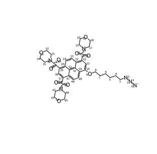 [N-]=[N+]=NCCCCCCOc1cc(S(=O)(=O)N2CCOCC2)c2ccc3c(S(=O)(=O)N4CCOCC4)cc(S(=O)(=O)N4CCOCC4)c4ccc1c2c43